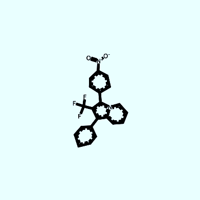 O=[N+]([O-])c1ccc(-c2c(C(F)(F)F)c(-c3ccccc3)c3ccccn23)cc1